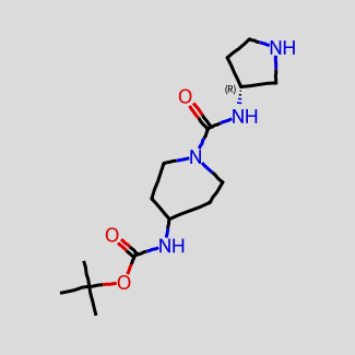 CC(C)(C)OC(=O)NC1CCN(C(=O)N[C@@H]2CCNC2)CC1